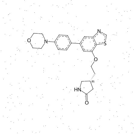 O=C1C[C@@H](CCOc2cc(-c3ccc(N4CCOCC4)cc3)cc3ncsc23)CN1